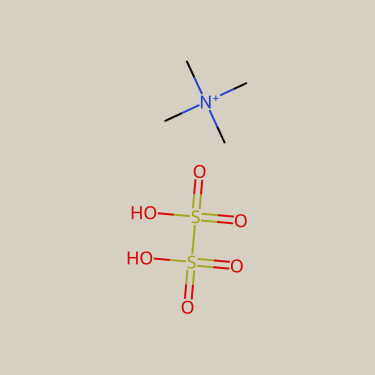 C[N+](C)(C)C.O=S(=O)(O)S(=O)(=O)O